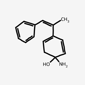 CC(=Cc1ccccc1)C1=CCC(N)(O)C=C1